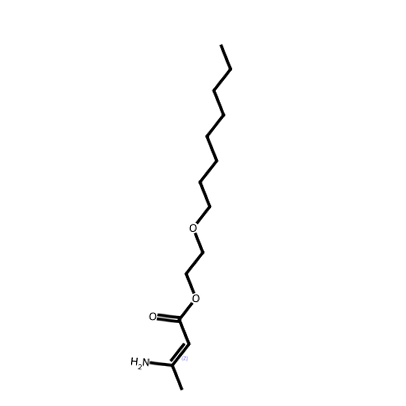 CCCCCCCCOCCOC(=O)/C=C(/C)N